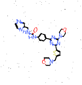 O=C(NCc1cnccn1)Nc1ccc(-c2nc(-c3ccc(CN4CCOCC4)s3)nc(N3CCOCC3)n2)cc1